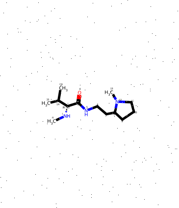 CN[C@@H](C(=O)NCCC1CCCN1C)C(C)C